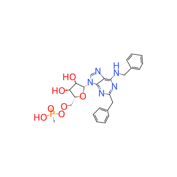 CP(=O)(O)OOC[C@H]1O[C@@H](n2cnc3c(NCc4ccccc4)nc(Cc4ccccc4)nc32)[C@H](O)[C@@H]1O